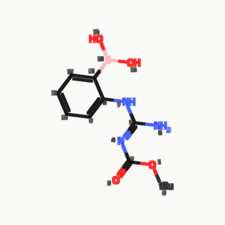 CC(C)(C)OC(=O)N=C(N)Nc1ccccc1B(O)O